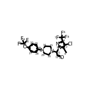 Cc1c(Cl)c(C(F)(F)F)nn1C(C=O)N1CCN(c2ccc(OC(F)(F)F)cc2)CC1